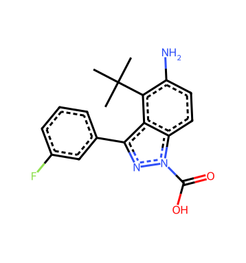 CC(C)(C)c1c(N)ccc2c1c(-c1cccc(F)c1)nn2C(=O)O